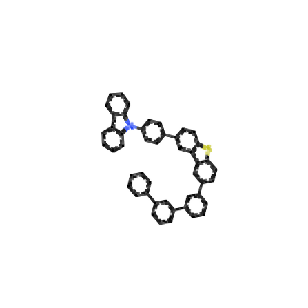 c1ccc(-c2cccc(-c3cccc(-c4ccc5sc6ccc(-c7ccc(-n8c9ccccc9c9ccccc98)cc7)cc6c5c4)c3)c2)cc1